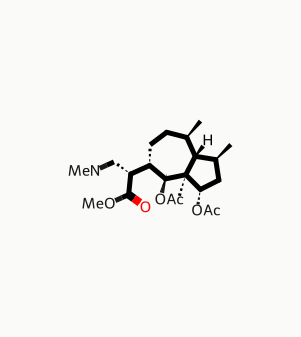 CNC[C@@H](C(=O)OC)[C@@H]1CC[C@@H](C)[C@@H]2[C@@H](C)C[C@H](OC(C)=O)[C@@]2(C)[C@H]1OC(C)=O